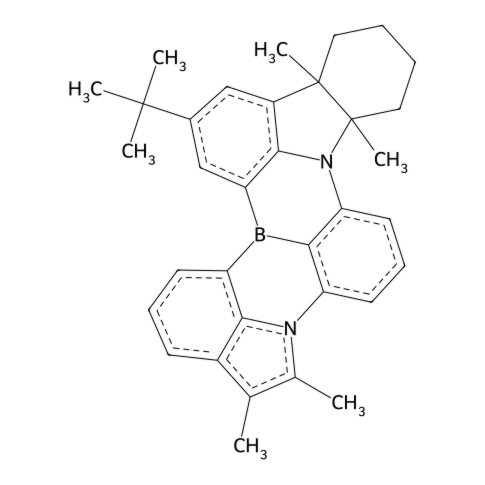 Cc1c(C)n2c3c(cccc13)B1c3cc(C(C)(C)C)cc4c3N(c3cccc-2c31)C1(C)CCCCC41C